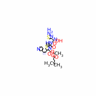 CC(C)CCC(=O)OC(C)OC(=O)C1=C(/C=C\c2cccnc2)CS[C@@H]2[C@H](NC(=O)/C(=N\O)c3csc(N)n3)C(=O)N12